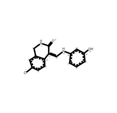 O=C1NCc2cc(Cl)ccc2C1=CNc1cccc(O)c1